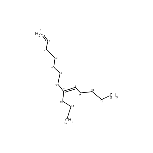 C=CCCCCCC(=CCCCC)CCC